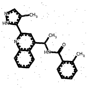 Cc1ccccc1C(=O)NC(C)c1cc(-c2[nH]ncc2C)nc2ccccc12